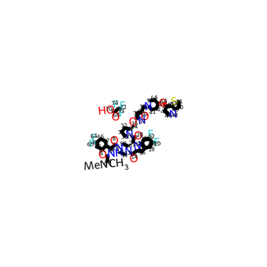 CN[C@@H](C)C(=O)N[C@H](C(=O)N1CCN(C(=O)c2cc3cc(F)c(F)cc3n2CC(=O)N2CCC[C@H]2COc2cc(CN3CCC(Oc4ccnc5ccsc45)CC3)on2)CC1)C1CCC(F)(F)CC1.O=C(O)C(F)(F)F